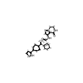 C=C(c1ccc(-c2ccn[nH]2)cc1)[C@@H]1CCCC[C@H]1C(=O)Nc1cnn2c1C(=O)NCC2